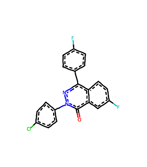 O=c1c2cc(F)ccc2c(-c2ccc(F)cc2)nn1-c1ccc(Cl)cc1